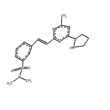 Cc1cc(C2CCCN2)nc(C=Cc2cccc(S(=O)(=O)N(C)C)c2)n1